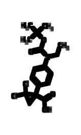 CCN(C(=O)OC(C)(C)C)c1ccc(C2(C(=O)O)CC2(Cl)Cl)cc1